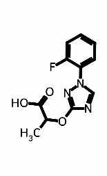 CC(Oc1ncn(-c2ccccc2F)n1)C(=O)O